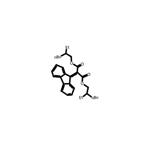 CCCCC(CC)COC(=O)C(C(=O)OCC(CC)CCCC)=C1c2ccccc2-c2ccccc21